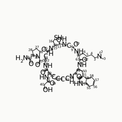 CN(C)CCCC[C@@H]1NC(=O)CNC(=O)[C@H](CS)NC(=O)C[C@@H](C(=O)N2CCC[C@H]2C(N)=O)NC(=O)[C@@H](NC(=O)CO)CCCCNC(=O)[C@H](Cc2c[nH]c3ccccc23)NC1=O